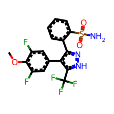 COc1c(F)cc(-c2c(-c3ccccc3S(N)(=O)=O)n[nH]c2C(F)(F)F)cc1F